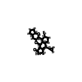 O=c1[nH]sc2c1c(=O)c1c(-c3ccc4cccc-4o3)c(F)ccc1n2C1CC1